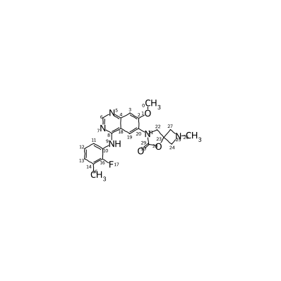 COc1cc2ncnc(Nc3cccc(C)c3F)c2cc1N1CC2(CN(C)C2)OC1=O